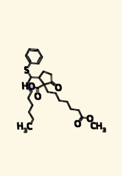 CCCCC/C=C/C(Sc1ccccc1)C1CCC(=O)C1(CCCCCCC(=O)OC)C(=O)O